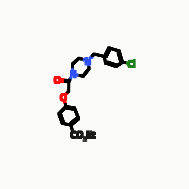 CCOC(=O)c1ccc(OCC(=O)N2CCN(Cc3ccc(Cl)cc3)CC2)cc1